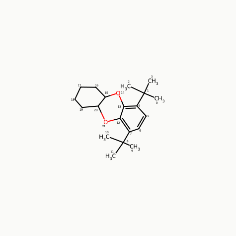 CC(C)(C)c1ccc(C(C)(C)C)c2c1OC1CCCCC1O2